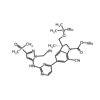 CC(C)Cn1nc(P(C)(C)=O)cc1Nc1nccc(-c2cc(C#N)c3c(c2)[C@@](C)(CO[Si](C)(C)C(C)(C)C)CN3C(=O)OC(C)(C)C)n1